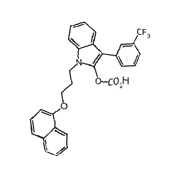 O=C(O)Oc1c(-c2cccc(C(F)(F)F)c2)c2ccccc2n1CCCOc1cccc2ccccc12